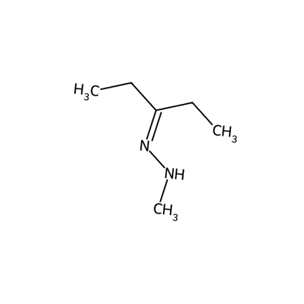 CCC(CC)=NNC